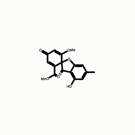 COC(=O)C1=CC(=O)C=C(OC)C12Oc1cc(C)cc(O)c1C2=O